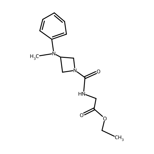 CCOC(=O)CNC(=O)N1CC(N(C)c2ccccc2)C1